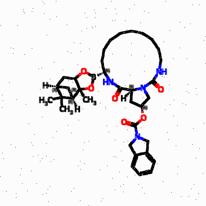 CC1(C)[C@H]2CC3OB([C@@H]4CCCCCCCCCNC(=O)N5C[C@H](OC(=O)N6Cc7ccccc7C6)C[C@H]5C(=O)N4)O[C@]3(C)[C@@H]1C2